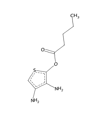 CCCCC(=O)Oc1scc(N)c1N